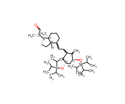 C=C1/C(=C/C=C2CCC[C@]3(C)[C@@H]([C@H](C)C=O)CC[C@@H]23)C[C@@H](O[Si](C(C)C)(C(C)C)C(C)C)C[C@@H]1O[Si](C(C)C)(C(C)C)C(C)C